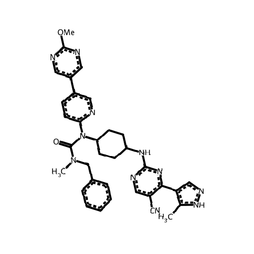 COc1ncc(-c2ccc(N(C(=O)N(C)Cc3ccccc3)C3CCC(Nc4ncc(C#N)c(-c5cn[nH]c5C)n4)CC3)nc2)cn1